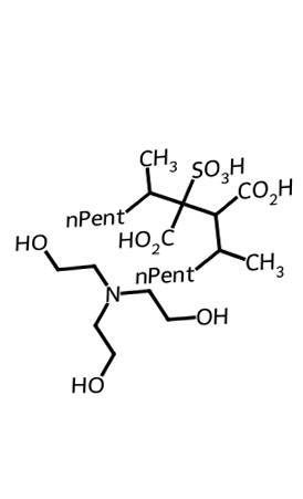 CCCCCC(C)C(C(=O)O)C(C(=O)O)(C(C)CCCCC)S(=O)(=O)O.OCCN(CCO)CCO